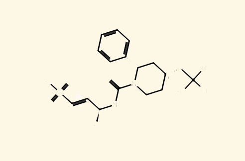 [2H]C([2H])([2H])C[C@@H]1CCN(C(=O)N[C@@H](C)/C=C/S(C)(=O)=O)[C@H](c2ccccc2)C1